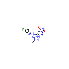 O=C1NC(=O)/C(=C/c2cnn3c(NC4CC4)nc(NCc4ccc(F)cc4)nc23)N1